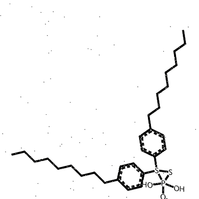 CCCCCCCCCc1ccc(S2(c3ccc(CCCCCCCCC)cc3)SP2(O)(O)[O][Mo])cc1